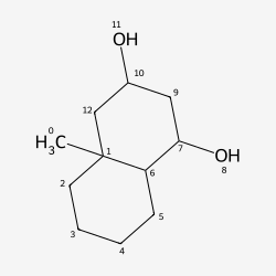 CC12CCCCC1C(O)CC(O)C2